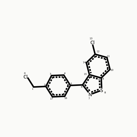 ClCc1ccc(-c2nsc3ccc(Cl)cc23)cc1